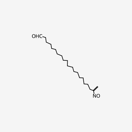 C=C(CCCCCCCCCCCCCCCCCCC=O)N=O